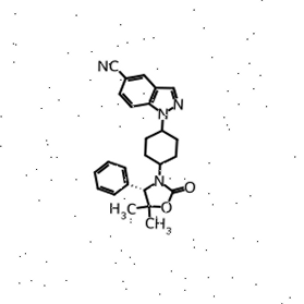 CC1(C)OC(=O)N(C2CCC(n3ncc4cc(C#N)ccc43)CC2)[C@H]1c1ccccc1